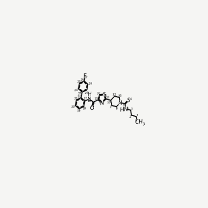 CCCCNC(=S)N1CCC(c2nc(C(=O)Nc3ccccc3-c3ccc(F)cc3)cs2)CC1